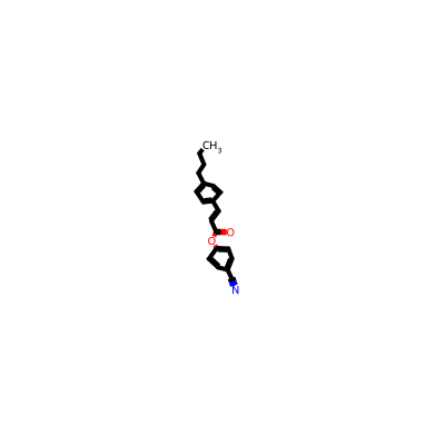 CCCCc1ccc(/C=C/C(=O)Oc2ccc(C#N)cc2)cc1